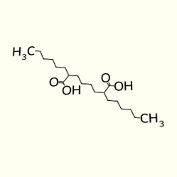 CCCCCCC(CCCCC(CCCCCC)C(=O)O)C(=O)O